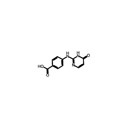 O=C(O)c1ccc(Nc2nccc(=O)[nH]2)cc1